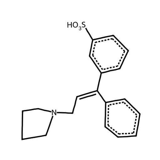 O=S(=O)(O)c1cccc(C(=CCN2CCCC2)c2ccccc2)c1